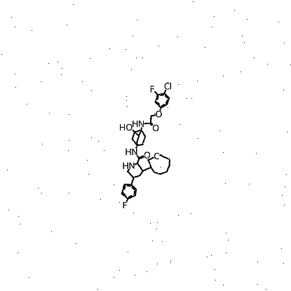 O=C(COc1ccc(Cl)c(F)c1)NC12CCC(NC(=O)C3NCC(c4ccc(F)cc4)CC3C3CCCCCCCC3)(CC1)CC2O